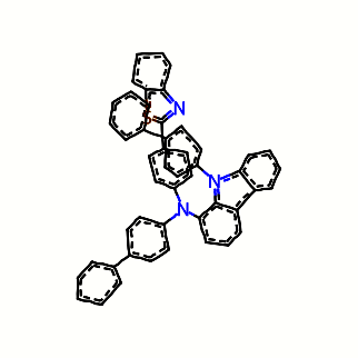 c1ccc(-c2ccc(N(c3ccc(-c4nc5ccccc5s4)cc3)c3cccc4c5ccccc5n(-c5ccc(-c6ccccc6)cc5)c34)cc2)cc1